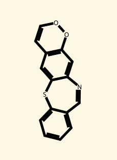 c1ccc2sc3cc4ccooc4cc3ncc2c1